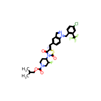 CC(C)COC(=O)N1CCC(N2C(=O)S/C(=C\c3ccc4c(cnn4Cc4ccc(Cl)cc4C(F)(F)F)c3)C2=O)C(F)C1